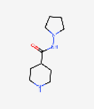 O=C(NN1CCCC1)C1CCNCC1